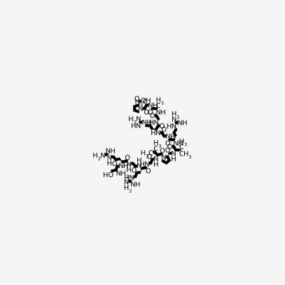 CC(C)[C@H](NC(=O)[C@@H]1CCCN1C(=O)[C@@H](NC(=O)CNC(=O)[C@H](CCCNC(=N)N)NC(=O)CNC(=O)[C@H](CCCNC(=N)N)NC(=O)[C@@H](N)CO)C(C)C)C(=O)N[C@@H](CCCNC(=N)N)C(=O)NCC(=O)N[C@@H](CCCNC(=N)N)C(=O)NCC(=O)N[C@@H](C)C(=O)N[C@@H](C)C(=O)N1CCC[C@H]1C(=O)O